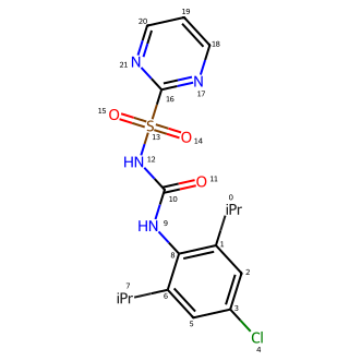 CC(C)c1cc(Cl)cc(C(C)C)c1NC(=O)NS(=O)(=O)c1ncccn1